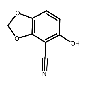 N#Cc1c(O)ccc2c1OCO2